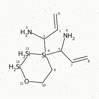 C=CC(N)[Si]1(C(N)C=C)CCO[SiH2][SiH2]1